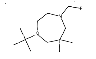 CC1(C)CN(CF)CCN(C(C)(C)C)C1